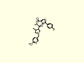 CN/C(=N\n1c(C=O)cnc1-c1ccc(F)cc1)C1CN(Cc2ccc(OC)nc2)CC1C